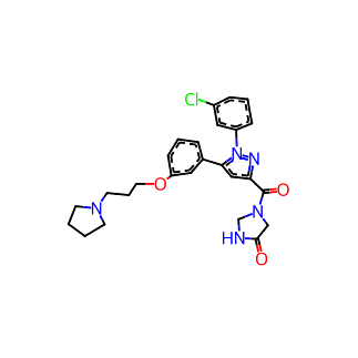 O=C1CN(C(=O)c2cc(-c3cccc(OCCCN4CCCC4)c3)n(-c3cccc(Cl)c3)n2)CN1